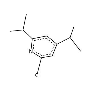 CC(C)c1cc(Cl)nc(C(C)C)c1